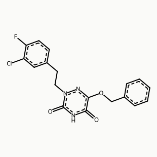 O=c1[nH]c(=O)n(CCc2ccc(F)c(Cl)c2)nc1OCc1ccccc1